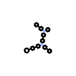 C1=CCC=C(c2ccc(-c3ccc(N(c4ccc(-c5ccccc5)cc4)c4ccc(-c5ccc(N(c6ccccc6)c6ccc(-c7ccccc7)cc6)cc5)cc4)cc3)cc2)C=C1